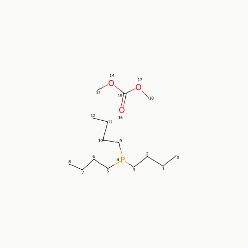 CCCCP(CCCC)CCCC.COC(=O)OC